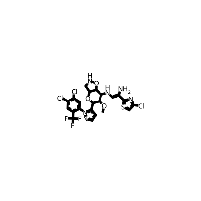 COC1C(c2ccnn2-c2cc(Cl)c(Cl)cc2C(F)(F)F)OC2CNOC2C1N/C=C(\N)c1nc(Cl)cs1